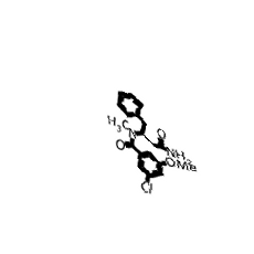 COc1cc(Cl)cc(C(=O)N(C)[C@H](CC(N)=O)Cc2ccccc2)c1